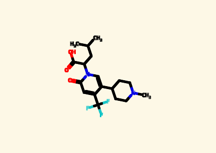 CC(C)CC(C(=O)O)n1cc(C2CCN(C)CC2)c(C(F)(F)F)cc1=O